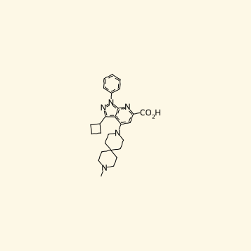 CN1CCC2(CC1)CCN(c1cc(C(=O)O)nc3c1c(C1CCC1)nn3-c1ccccc1)CC2